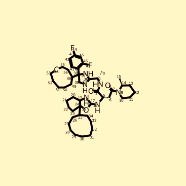 C[C@H](NC(=O)[C@H](CC(=O)N1CCCC[C@@H]1C)NC1NC2CCCCC2(C2CCCCCCCCC2)O1)C1NCC(c2ccc(F)cc2F)(C2CCCCCCCC2)N1